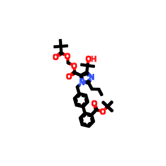 CCCc1nc(C(C)(C)O)c(C(=O)OCOC(=O)C(C)(C)C)n1Cc1ccc(-c2ccccc2C(=O)OC(C)(C)C)cc1